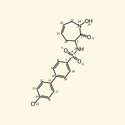 O=C1C(NS(=O)(=O)c2ccc(-c3ccc(Cl)cc3)cc2)CC=CCN1O